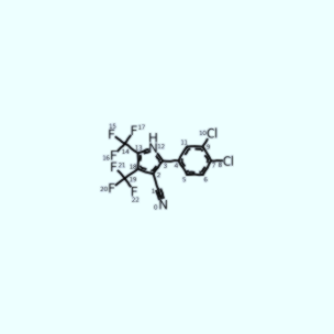 N#Cc1c(-c2ccc(Cl)c(Cl)c2)[nH]c(C(F)(F)F)c1C(F)(F)F